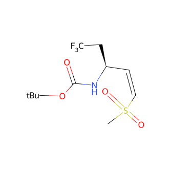 CC(C)(C)OC(=O)N[C@H](/C=C\S(C)(=O)=O)CC(F)(F)F